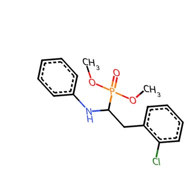 COP(=O)(OC)C(Cc1ccccc1Cl)Nc1ccccc1